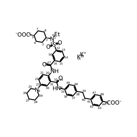 CCN([C@H]1CC[C@@H](C(=O)[O-])CC1)S(=O)(=O)c1cccc(C(=O)Nc2ccc(N3CCCCC3)cc2C(=O)Nc2ccc(CCc3ccc(C(=O)[O-])cc3)cc2)c1.[K+].[K+]